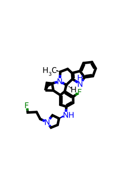 C[C@@H]1Cc2c([nH]c3ccccc23)[C@H]2c3c(F)cc(N[C@H]4CCN(CCCF)C4)cc3C3C4CC3(C4)N21